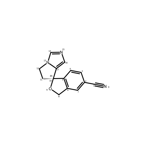 N#Cc1ccc2c(c1)CO[C@]21CCn2cncc21